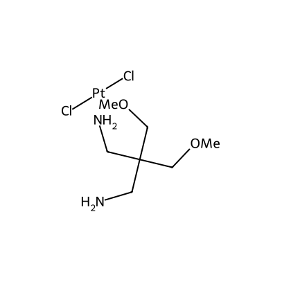 COCC(CN)(CN)COC.[Cl][Pt][Cl]